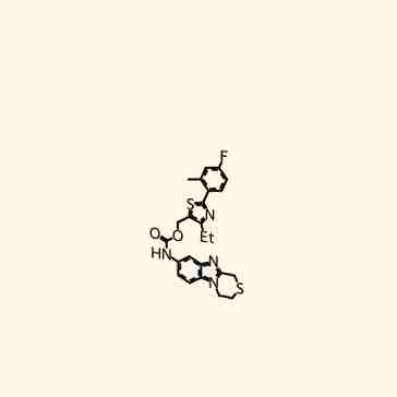 CCc1nc(-c2ccc(F)cc2C)sc1COC(=O)Nc1ccc2c(c1)nc1n2CCSC1